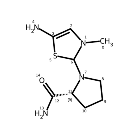 CN1C=C(N)SC1N1CCC[C@@H]1C(N)=O